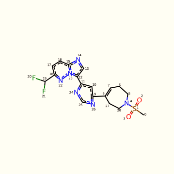 CS(=O)(=O)N1CCC=C(c2cc(-c3cnc4ccc(C(F)F)nn34)ncn2)CC1